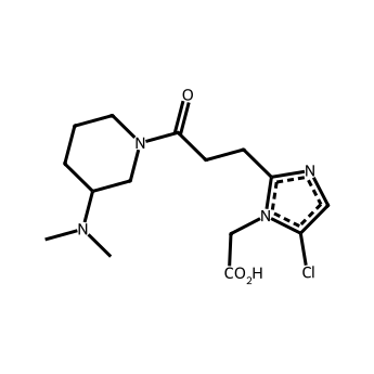 CN(C)C1CCCN(C(=O)CCc2ncc(Cl)n2CC(=O)O)C1